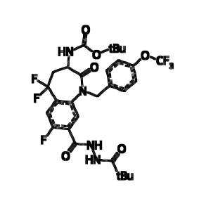 CC(C)(C)OC(=O)NC1CC(F)(F)c2cc(F)c(C(=O)NNC(=O)C(C)(C)C)cc2N(Cc2ccc(OC(F)(F)F)cc2)C1=O